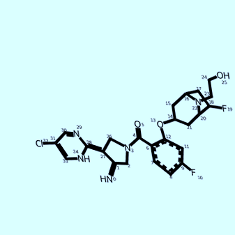 N=C1CN(C(=O)c2ccc(F)cc2OC2CC3CC(F)C(C2)N3CCO)C/C1=C1\N=CC(Cl)=CN1